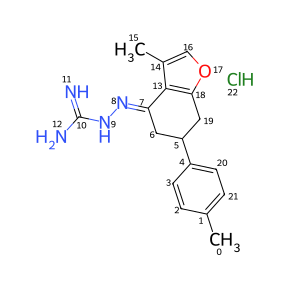 Cc1ccc(C2C/C(=N\NC(=N)N)c3c(C)coc3C2)cc1.Cl